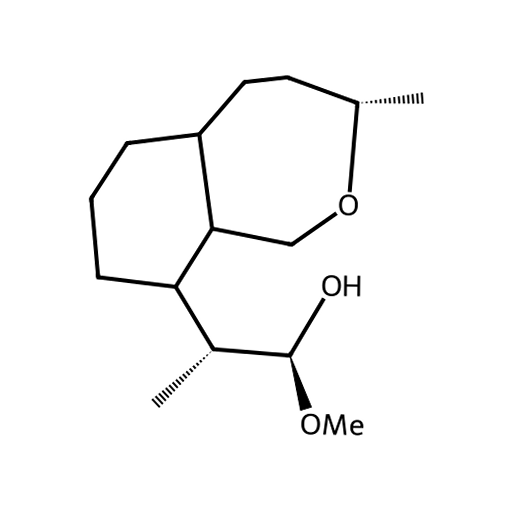 CO[C@H](O)[C@H](C)C1CCCC2CC[C@H](C)OCC21